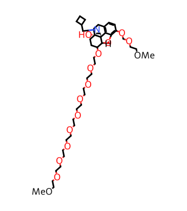 COCCOCCOCCOCCOCCOCCOCCOCCOCCOC1CC[C@@]2(O)C3Cc4ccc(OCOCCOC)c5c4[C@@]2(CCN3CC2CCC2)[C@H]1O5